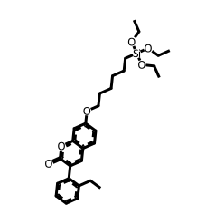 CCO[Si](CCCCCCOc1ccc2cc(-c3ccccc3CC)c(=O)oc2c1)(OCC)OCC